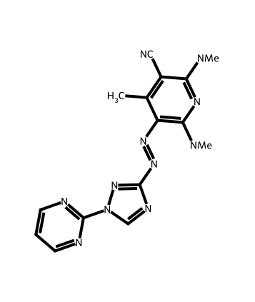 CNc1nc(NC)c(/N=N/c2ncn(-c3ncccn3)n2)c(C)c1C#N